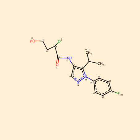 CC(C)c1c(NC(=O)C(Br)CCO)cnn1-c1ccc(F)cc1